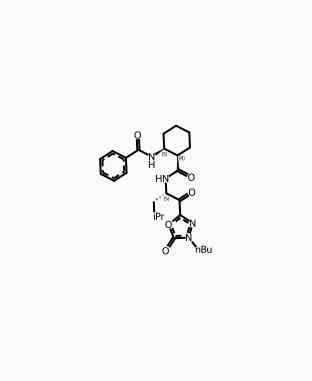 CCCCn1nc(C(=O)[C@H](CC(C)C)NC(=O)[C@@H]2CCCC[C@@H]2NC(=O)c2ccccc2)oc1=O